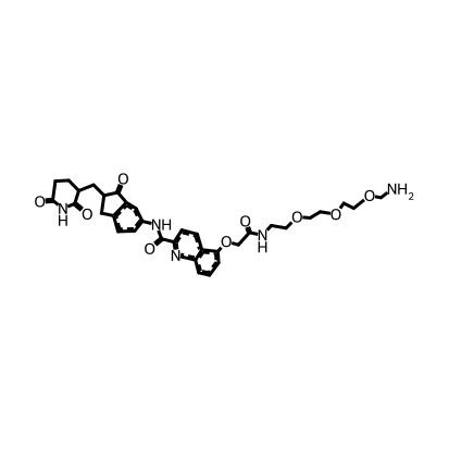 NCOCCOCCOCCNC(=O)COc1cccc2nc(C(=O)Nc3ccc4c(c3)C(=O)C(CC3CCC(=O)NC3=O)C4)ccc12